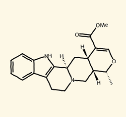 COC(=O)C1=CO[C@H](C)[C@@H]2CN3CCc4c([nH]c5ccccc45)[C@H]3C[C@H]12